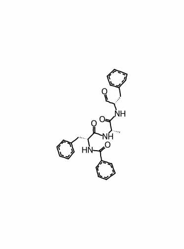 C[C@H](NC(=O)[C@@H](Cc1ccccc1)NC(=O)c1ccccc1)C(=O)N[C@H](C=O)Cc1ccccc1